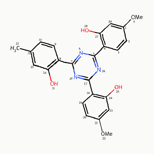 COc1ccc(-c2nc(-c3ccc(C)cc3O)nc(-c3ccc(OC)cc3O)n2)c(O)c1